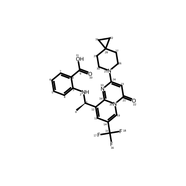 C[C@@H](Nc1ccccc1C(=O)O)c1cc(C(F)(F)F)cn2c(=O)cc(N3CCC4(CC3)CC4)nc12